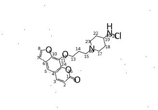 O=c1ccc2cc3ccoc3c(OCCCN3CCC(NCl)CC3)c2o1